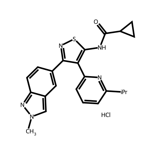 CC(C)c1cccc(-c2c(-c3ccc4nn(C)cc4c3)nsc2NC(=O)C2CC2)n1.Cl